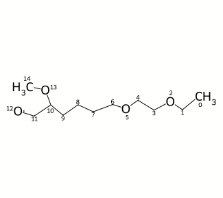 CCOCCOCCCCC(C[O])OC